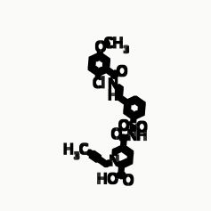 CC#CCN1CC(C(=O)NS(=O)(=O)c2cccc(CCNC(=O)c3cc(OC)ccc3Cl)c2)=CC=C1C(=O)O